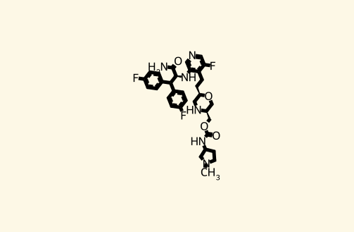 CN1CCC(NC(=O)OC[C@@H]2CO[C@H](CCc3c(F)cncc3N[C@H](C(N)=O)C(c3ccc(F)cc3)c3ccc(F)cc3)CN2)C1